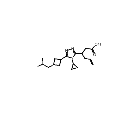 C=CCC(CC(=O)O)c1nnc(C2CC(CC(C)C)C2)n1C1CC1